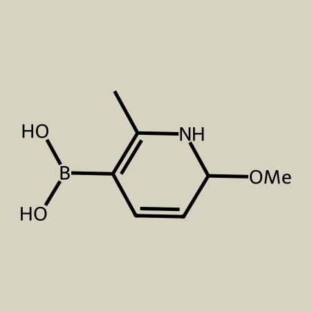 COC1C=CC(B(O)O)=C(C)N1